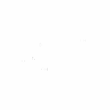 CCCCCCCCCCCC[N+]1(CCO)CCOCC1.[Br-]